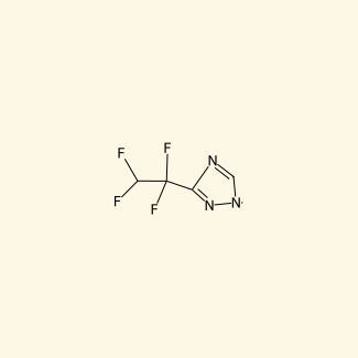 FC(F)C(F)(F)C1=N[N]C=N1